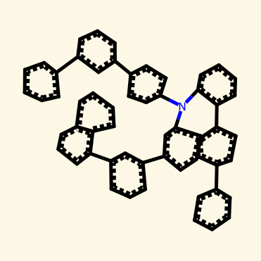 c1ccc(-c2ccc(-c3ccccc3N(c3ccc(-c4cccc(-c5ccccc5)c4)cc3)c3cccc(-c4cccc(-c5cccc6ccccc56)c4)c3)cc2)cc1